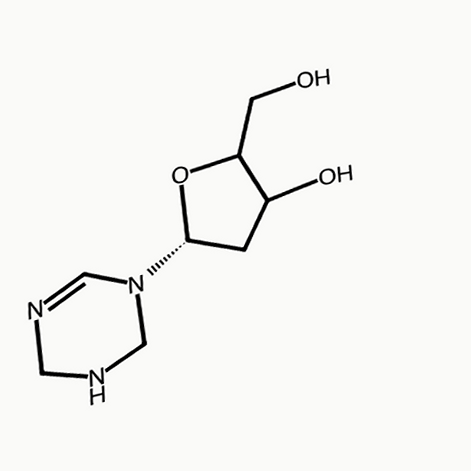 OCC1O[C@@H](N2C=NCNC2)CC1O